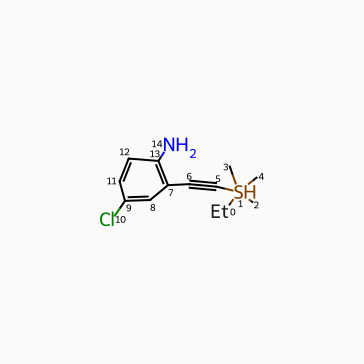 CC[SH](C)(C)(C)C#Cc1cc(Cl)ccc1N